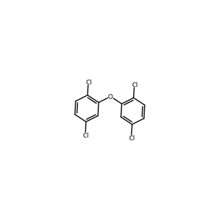 Clc1ccc(Cl)c(Oc2cc(Cl)ccc2Cl)c1